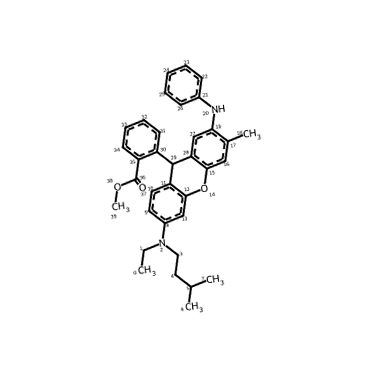 CCN(CCC(C)C)c1ccc2c(c1)Oc1cc(C)c(Nc3ccccc3)cc1C2c1ccccc1C(=O)OC